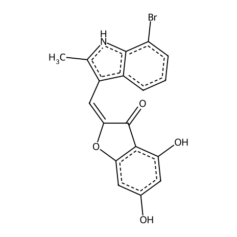 Cc1[nH]c2c(Br)cccc2c1/C=C1/Oc2cc(O)cc(O)c2C1=O